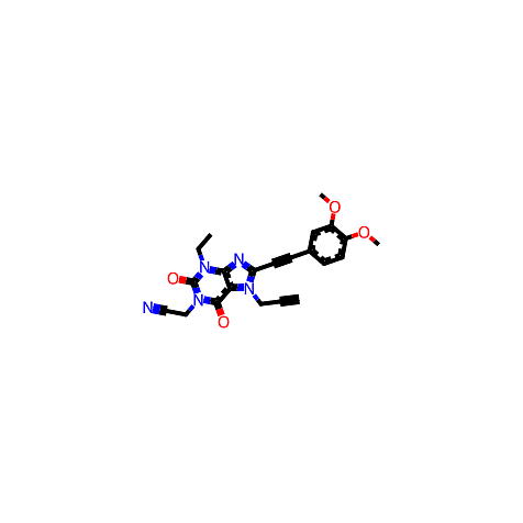 C#CCn1c(C#Cc2ccc(OC)c(OC)c2)nc2c1c(=O)n(CC#N)c(=O)n2CC